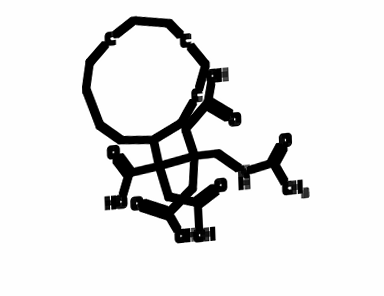 CC(=O)NCC(CC(=O)O)(CC(=O)O)C(CC(=O)O)(C(=O)O)C1CCCCCCCCCCC1